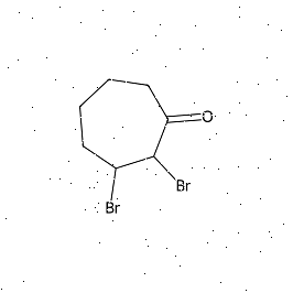 O=C1CCCCC(Br)C1Br